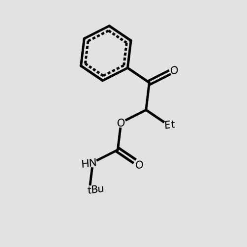 CCC(OC(=O)NC(C)(C)C)C(=O)c1ccccc1